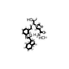 C[C@H](O)[C@@H](CCc1cccc2nc(-c3scc4ccccc34)oc12)n1cnc(C(N)=O)c1.Cl